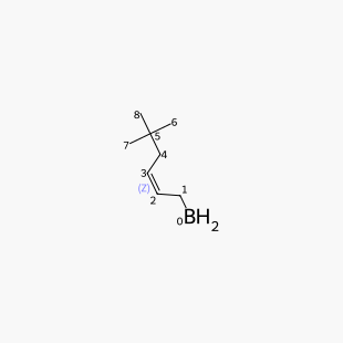 BC/C=C\CC(C)(C)C